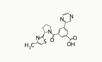 Cc1csc([C@H]2CCCN2C(=O)c2cc(C(=O)O)cc(-c3cnccn3)c2)n1